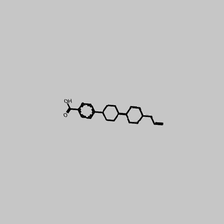 C=CCC1CCC(C2CCC(c3ccc(C(=O)O)cc3)CC2)CC1